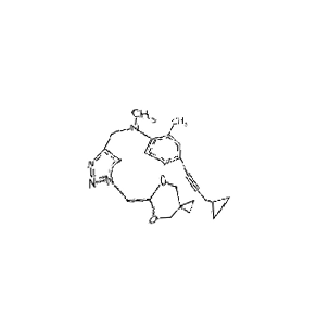 Cc1cc(C#CC2CC2)ccc1N(C)Cc1cn(CC2OCC3(CC3)CO2)nn1